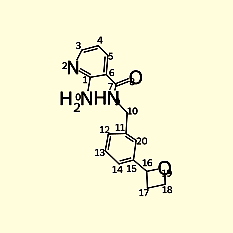 Nc1ncccc1C(=O)NCc1cccc(C2CCO2)c1